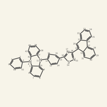 c1ccc(N2c3ccccc3N(c3ccc(-c4nc(-c5cc6ccccc6c6ccccc56)ns4)cc3)c3ccccc32)cc1